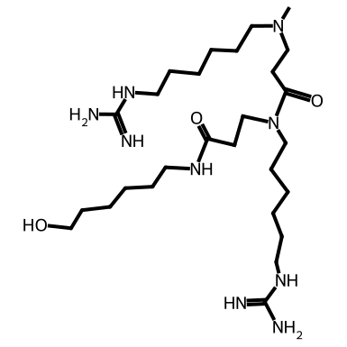 CN(CCCCCCNC(=N)N)CCC(=O)N(CCCCCCNC(=N)N)CCC(=O)NCCCCCCO